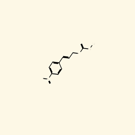 NNC(=O)OC/C=C/c1ccc([N+](=O)[O-])cc1